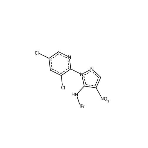 CC(C)Nc1c([N+](=O)[O-])cnn1-c1ncc(Cl)cc1Cl